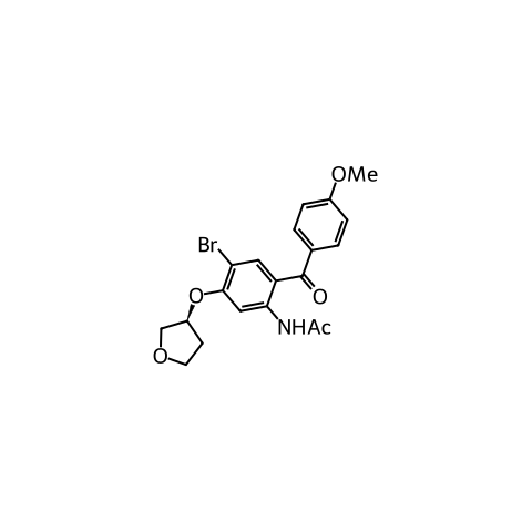 COc1ccc(C(=O)c2cc(Br)c(O[C@H]3CCOC3)cc2NC(C)=O)cc1